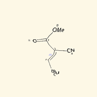 COC(=O)/C(C#N)=C/C(C)(C)C